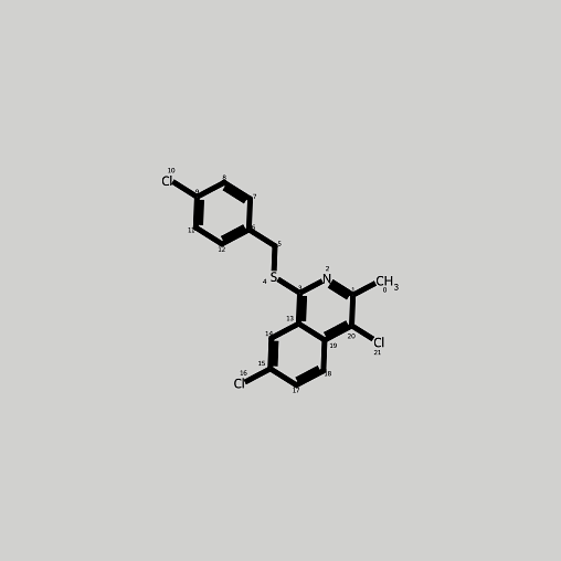 Cc1nc(SCc2ccc(Cl)cc2)c2cc(Cl)ccc2c1Cl